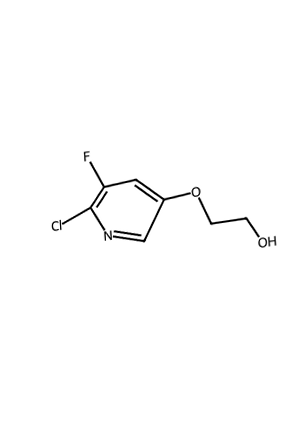 OCCOc1cnc(Cl)c(F)c1